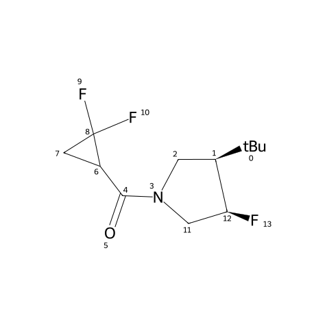 CC(C)(C)[C@@H]1CN(C(=O)C2CC2(F)F)C[C@@H]1F